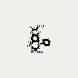 CCCC[C@]1(CC)CN(c2ccccc2)c2cc(Cl)c(O[C@@H](C)CC(=O)O)cc2S(=O)(=O)C1